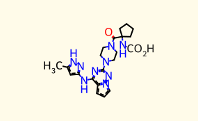 Cc1cc(Nc2nc(N3CCN(C(=O)C4(NC(=O)O)CCCC4)CC3)nn3cccc23)n[nH]1